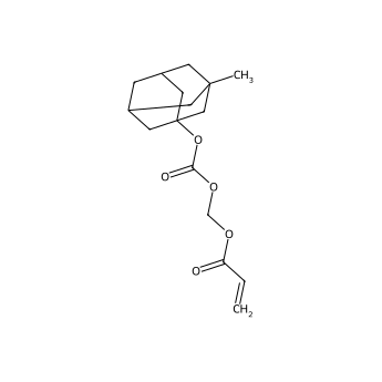 C=CC(=O)OCOC(=O)OC12CC3CC(CC(C)(C3)C1)C2